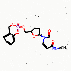 CNC(=O)/C=C\N(C=O)C1CCC(COP2(=O)OCc3ccccc3O2)O1